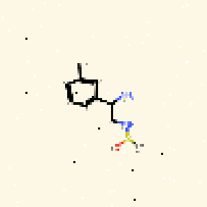 CC[S+]([O-])NCC(N)c1cccc(C(F)(F)F)c1